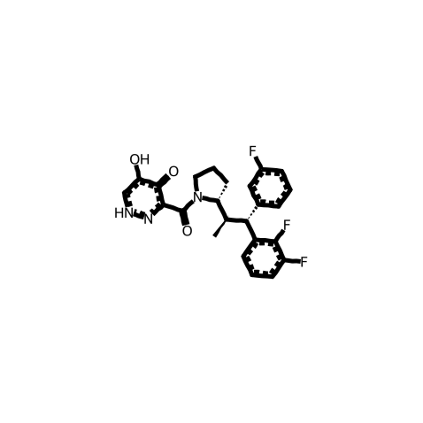 C[C@H]([C@H](c1cccc(F)c1)c1cccc(F)c1F)[C@H]1CCCN1C(=O)c1n[nH]cc(O)c1=O